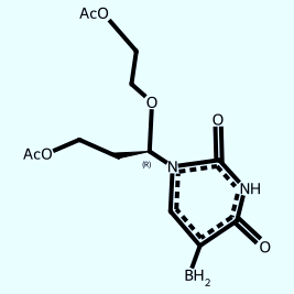 Bc1cn([C@@H](CCOC(C)=O)OCCOC(C)=O)c(=O)[nH]c1=O